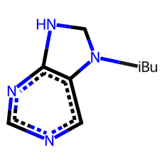 CCC(C)N1CNc2ncncc21